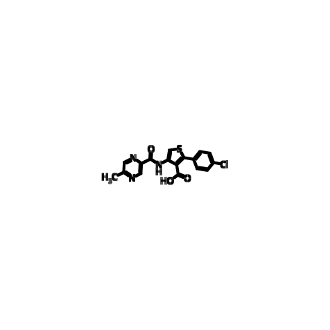 Cc1cnc(C(=O)Nc2csc(-c3ccc(Cl)cc3)c2C(=O)O)cn1